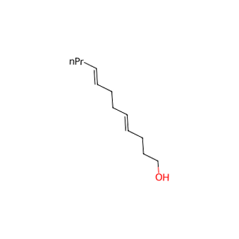 CCC/C=C/CCC=CCCCO